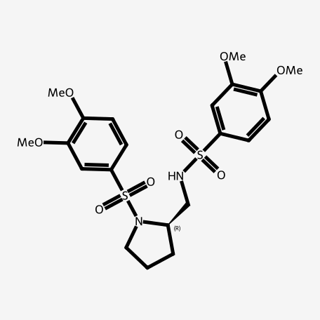 COc1ccc(S(=O)(=O)NC[C@H]2CCCN2S(=O)(=O)c2ccc(OC)c(OC)c2)cc1OC